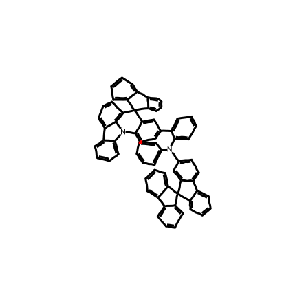 c1ccc(N(c2ccc3c(c2)C2(c4ccccc4-c4ccccc42)c2ccccc2-3)c2ccccc2-c2ccc3c(c2)C2(c4ccccc4-c4ccccc42)c2cccc4c5ccccc5n-3c24)cc1